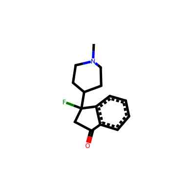 CN1CCC(C2(F)CC(=O)c3ccccc32)CC1